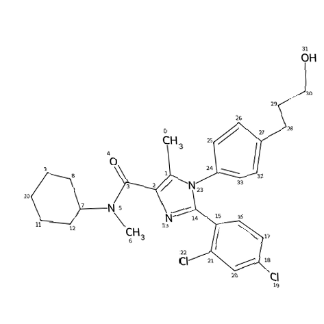 Cc1c(C(=O)N(C)C2CCCCC2)nc(-c2ccc(Cl)cc2Cl)n1-c1ccc(CCCO)cc1